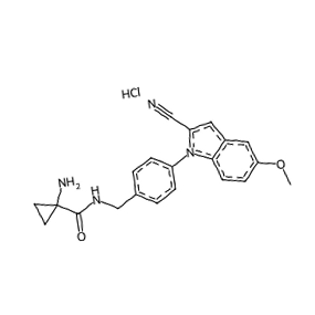 COc1ccc2c(c1)cc(C#N)n2-c1ccc(CNC(=O)C2(N)CC2)cc1.Cl